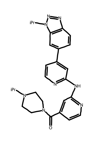 CC(C)N1CCN(C(=O)c2ccnc(Nc3cc(-c4ccc5nnn(C(C)C)c5c4)ccn3)c2)CC1